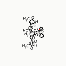 Cc1cn(C2CC(O)[C@H](SCC(O[Si](c3ccccc3)(c3ccccc3)C(C)(C)C)[C@H]3O[C@@H](n4cc(C)c(=O)[nH]c4=O)C[C@@H]3C)O2)c(=O)[nH]c1=O